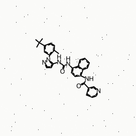 Cc1ccc(C(C)(C)C)cc1-n1nccc1NC(=O)Nc1ccc(NC(=O)c2cccnc2)c2ccccc12